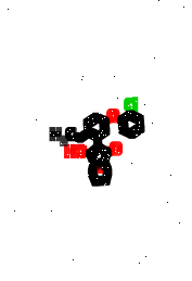 CCc1ccc(Oc2ccccc2Cl)cc1C1=C(O)c2c(c3ccc2o3)C1=O